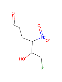 O=CCCC(C(O)CF)[N+](=O)[O-]